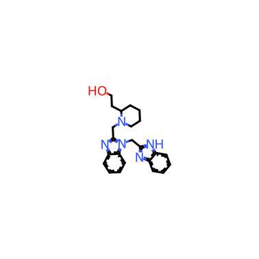 OCCC1CCCCN1Cc1nc2ccccc2n1Cc1nc2ccccc2[nH]1